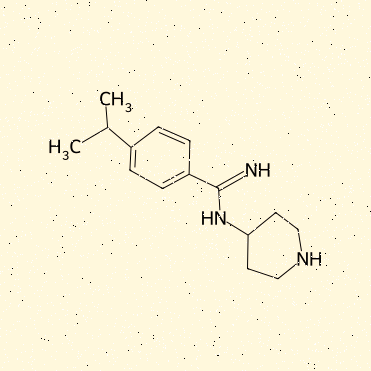 CC(C)c1ccc(C(=N)NC2CCNCC2)cc1